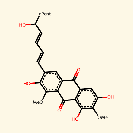 CCCCCC(O)C=CC=Cc1cc2c(c(OC)c1O)C(=O)c1c(cc(O)c(OC)c1O)C2=O